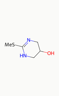 CSC1=NCC(O)CN1